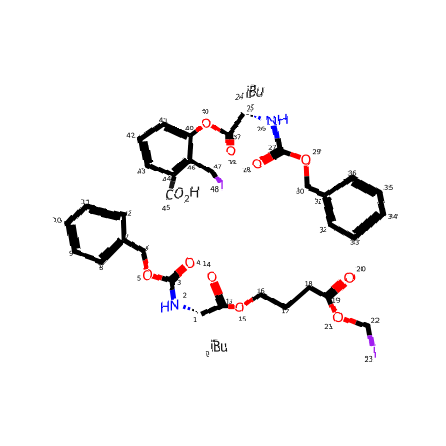 CC[C@H](C)[C@H](NC(=O)OCc1ccccc1)C(=O)OCCCC(=O)OCI.CC[C@H](C)[C@H](NC(=O)OCc1ccccc1)C(=O)Oc1cccc(C(=O)O)c1CI